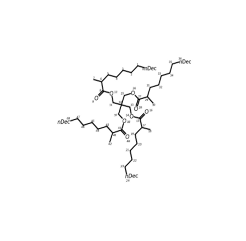 CCCCCCCCCCCCCCCC(C)C(=O)OCC(COC(=O)C(C)CCCCCCCCCCCCCCC)(COC(=O)C(C)CCCCCCCCCCCCCCC)COC(=O)C(C)CCCCCCCCCCCCCCC